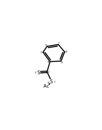 CC(=O)SC(=S)c1ccccc1